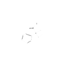 NC(=O)C1(c2ccccc2)COC1